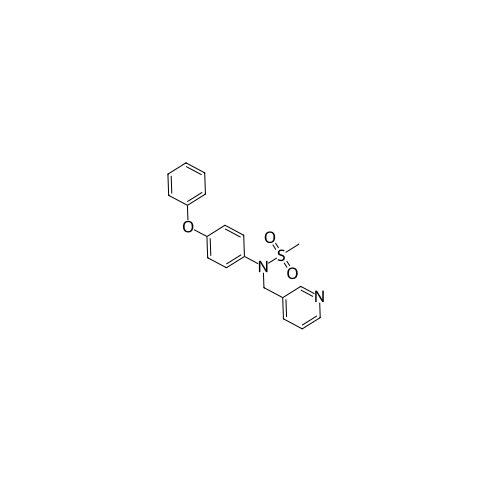 CS(=O)(=O)N(Cc1cccnc1)c1ccc(Oc2ccccc2)cc1